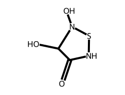 O=C1NSN(O)C1O